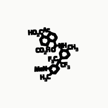 CNc1cc(C(c2ccc(C)c(NC(=O)c3ccc(C(C)=O)c4c(C(=O)O)ccc(C(=O)O)c34)c2)(C(F)(F)F)C(F)(F)F)ccc1C